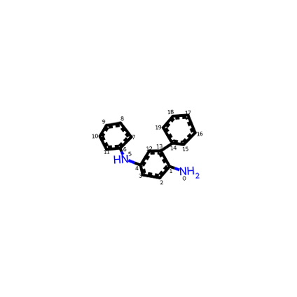 Nc1ccc(Nc2ccccc2)cc1-c1ccccc1